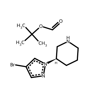 Brc1cnn([C@@H]2CCCNC2)c1.CC(C)(C)OC=O